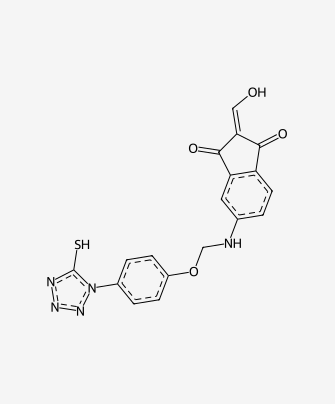 O=C1/C(=C\O)C(=O)c2cc(NCOc3ccc(-n4nnnc4S)cc3)ccc21